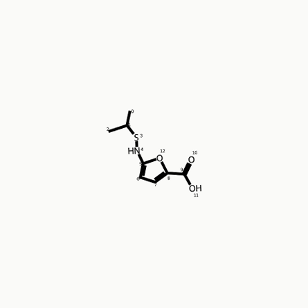 CC(C)SNc1ccc(C(=O)O)o1